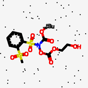 CC(C)(C)OC(=O)N(OC(=O)OCCO)S(=O)(=O)c1ccccc1S(C)(=O)=O